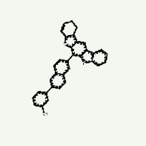 N#Cc1cccc(-c2ccc3cc(-c4c5oc6c(c5cc5c4oc4ccccc45)CCC=C6)ccc3c2)c1